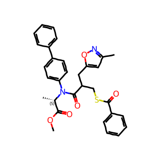 COC(=O)[C@H](C)N(C(=O)C(CSC(=O)c1ccccc1)Cc1cc(C)no1)c1ccc(-c2ccccc2)cc1